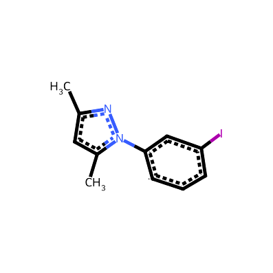 Cc1cc(C)n(-c2[c]ccc(I)c2)n1